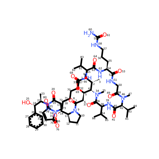 CC[C@H](C)[C@@H]([C@@H](CC(=O)N1CCC[C@H]1[C@H](OC)[C@@H](C)C(=O)N[C@H](C)[C@@H](O)c1ccccc1)OC)N(C)C(=O)C(NC(=O)[C@H](C(C)C)N(C)C(=O)CNC(=O)[C@H](CCCNC(N)=O)NC(=O)C(NC(=O)CCCCCN1C(=O)C=CC1=O)C(C)C)C(C)C